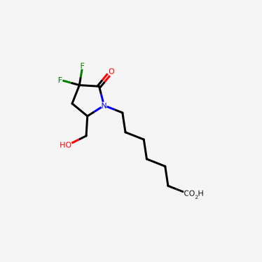 O=C(O)CCCCCCN1C(=O)C(F)(F)CC1CO